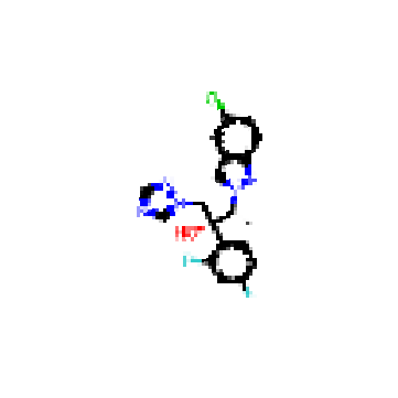 C[C@@H](n1cc2cc(Cl)ccc2n1)[C@](O)(Cn1cncn1)c1ccc(F)cc1F